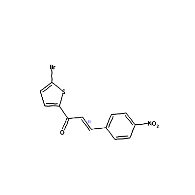 O=C(/C=C/c1ccc([N+](=O)[O-])cc1)c1ccc(Br)s1